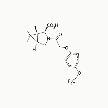 CC1(C)[C@@H]2CN(C(=O)COc3ccc(OC(F)(F)F)cc3)[C@H](C(=O)O)[C@]21C